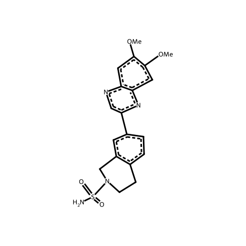 COc1cc2ncc(-c3ccc4c(c3)CN(S(N)(=O)=O)CC4)nc2cc1OC